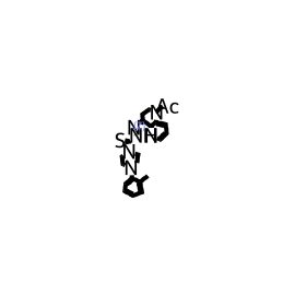 CC(=O)N1CC/C(=N/NC(=S)N2CCN(c3ccccc3C)CC2)c2ncccc21